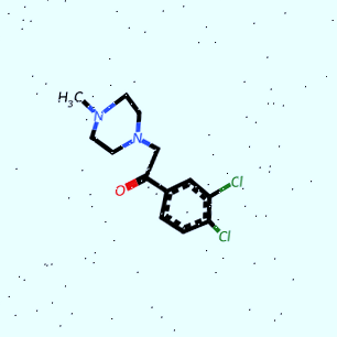 CN1CCN(CC(=O)c2ccc(Cl)c(Cl)c2)CC1